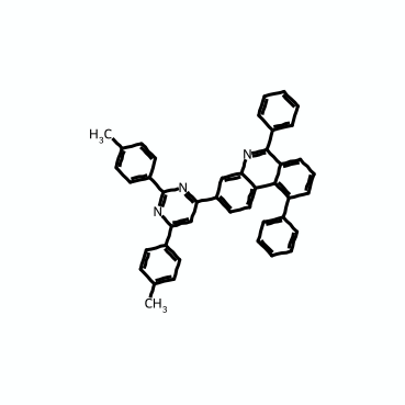 Cc1ccc(-c2cc(-c3ccc4c(c3)nc(-c3ccccc3)c3cccc(-c5ccccc5)c34)nc(-c3ccc(C)cc3)n2)cc1